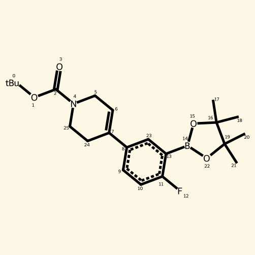 CC(C)(C)OC(=O)N1CC=C(c2ccc(F)c(B3OC(C)(C)C(C)(C)O3)c2)CC1